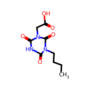 CCCCn1c(=O)[nH]c(=O)n(CC(=O)O)c1=O